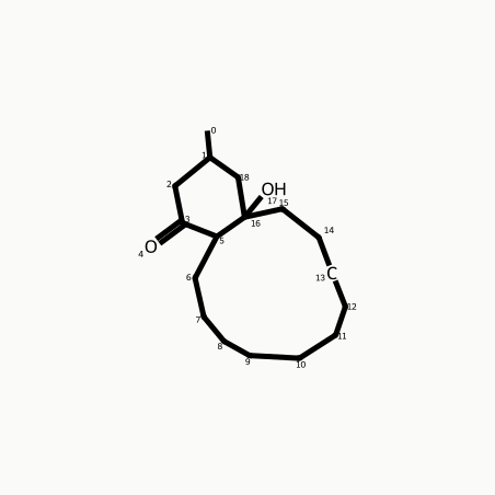 CC1CC(=O)C2CCCCCCCCCCC2(O)C1